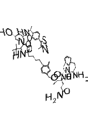 Cc1cc(CO[C@H](C)[C@H](CCC(N)=O)NC(=O)[C@@H]2Cc3cccc4c3N2C(=O)[C@@H](N)CC4)ccc1CCCCC(=O)N[C@H](C(=O)N1C[C@H](O)C[C@H]1C(=O)N[C@@H](C)c1ccc(-c2scnc2C)cc1)C(C)(C)C